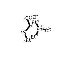 CCSCC(=O)[O-].C[CH2][Sn+]([CH2]C)[CH2]C